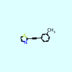 Cc1cccc(C#Cc2nccs2)c1